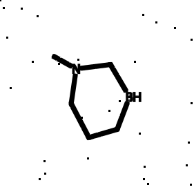 CN1CBCCC1